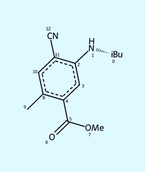 CC[C@@H](C)Nc1cc(C(=O)OC)c(C)cc1C#N